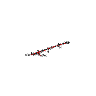 CCCCCCCCCCCCCC(=O)NCCCC[C@@H](NC(=O)CCCCCCCCCCCCC)C(=O)NCCCOCCOCCOCCCNC(=O)CCOCCOCCOCCOCCOCCC(=O)NCCCOCCOCCO